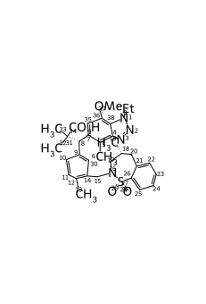 CCn1nnc2c(C)c([C@H](c3ccc(C)c(CN4C[C@H](C)Cc5ccccc5S4(=O)=O)c3)C(C)(C)C(=O)O)cc(OC)c21